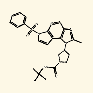 Cc1nc2cnc3c(ccn3S(=O)(=O)c3ccccc3)c2n1C1CCN(C(=O)OC(C)(C)C)C1